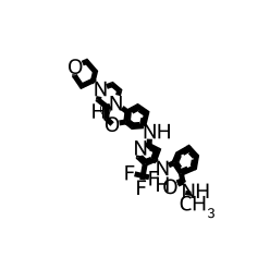 CNC(=O)c1ccccc1Nc1cc(Nc2ccc3c(c2)OC[C@H]2CN(C4CCOCC4)CCN32)ncc1C(F)(F)F